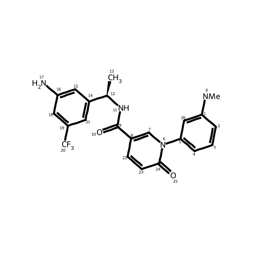 CNc1cccc(-n2cc(C(=O)N[C@H](C)c3cc(N)cc(C(F)(F)F)c3)ccc2=O)c1